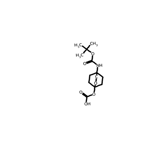 CC(C)(C)OC(=O)NC12CCC(OC(=O)O)(CC1)OC2